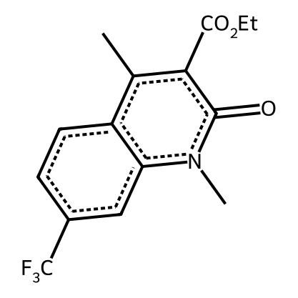 CCOC(=O)c1c(C)c2ccc(C(F)(F)F)cc2n(C)c1=O